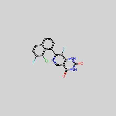 O=c1[nH]c(=O)c2cnc(-c3cccc4ccc(F)c(Cl)c34)c(F)c2[nH]1